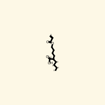 C=CC(=O)OCCCCC(CCCC)C(=O)O